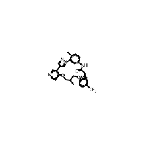 COCC(C)COc1ccncc1-c1cnn(-c2cc(NC(=O)Cc3cccc(C(F)(F)F)c3)ccc2C)c1